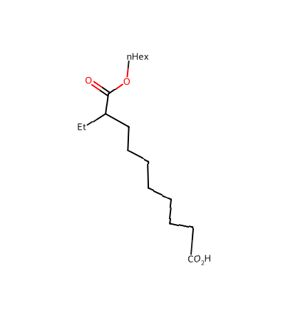 CCCCCCOC(=O)C(CC)CCCCCCCC(=O)O